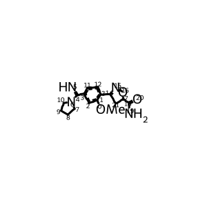 COc1cc(C(=N)N2CCCC2)ccc1C1=NOC(C(N)=O)C1